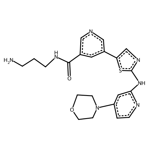 NCCCNC(=O)c1cncc(-c2cnc(Nc3cc(N4CCOCC4)ccn3)s2)c1